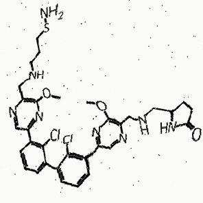 COc1nc(-c2cccc(-c3cccc(-c4cnc(CNCC5CCC(=O)N5)c(OC)n4)c3Cl)c2Cl)cnc1CNCCCSN